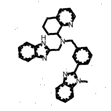 Cn1c(-c2cccc(CN(Cc3nc4ccccc4[nH]3)C3CCCc4cccnc43)c2)nc2ccccc21